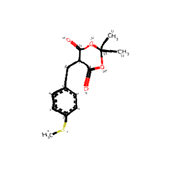 CSc1ccc(CC2C(=O)OC(C)(C)OC2=O)cc1